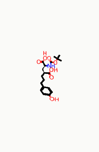 CC(C)(C)OC(=O)N[C@@H](C[C@H](CCCc1ccc(O)cc1)C(=O)O)C(=O)O